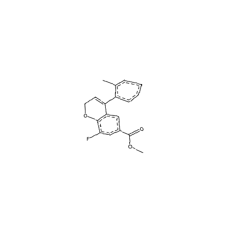 COC(=O)c1cc(F)c2c(c1)C(c1ccccc1C)=CCO2